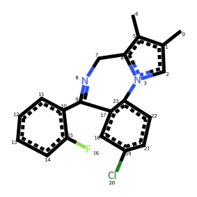 Cc1cn2c(c1C)CN=C(c1ccccc1F)c1cc(Cl)ccc1-2